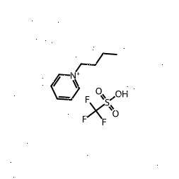 CCCC[n+]1ccccc1.O=S(=O)(O)C(F)(F)F